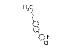 CCCCCc1ccc2cc(-c3ccc(Cl)c(F)c3)ccc2c1